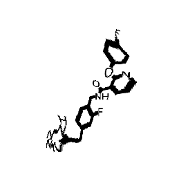 O=C(NCc1ccc(Cc2nnn[nH]2)cc1F)c1cccnc1Oc1ccc(F)cc1